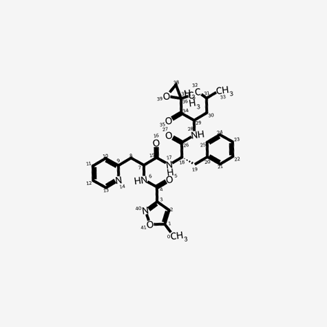 Cc1cc(C(=O)NC(Cc2ccccn2)C(=O)N[C@@H](Cc2ccccc2)C(=O)NC(CC(C)C)C(=O)C2(C)CO2)no1